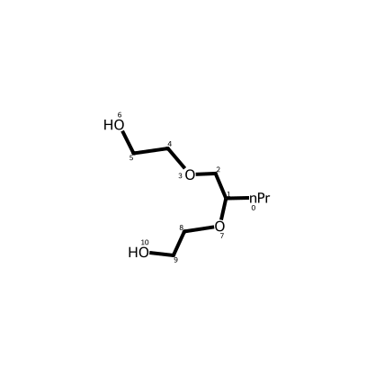 CCCC(COCCO)OCCO